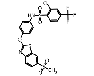 CS(=O)(=O)c1ccc2nc(Oc3ccc(NS(=O)(=O)c4ccc(C(F)(F)F)cc4Cl)cc3)sc2c1